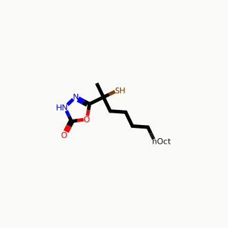 CCCCCCCCCCCCC(C)(S)c1n[nH]c(=O)o1